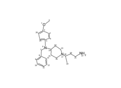 COc1ccc(N(Cc2ccccc2)C2CCN(C(C)CCN)CC2)cc1